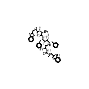 CC(C)[C@H](NC(=O)N(C)Cc1nc2ccccc2[nH]1)C(=O)N[C@@H](Cc1ccccc1)C[C@H](O)[C@H](Cc1ccccc1)NC(=O)[C@@H](NC(=O)N(C)Cc1nc2ccccc2[nH]1)C(C)C